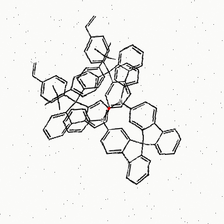 C=Cc1ccc(C2(c3ccc(C(C)(C)C)cc3)c3ccccc3-c3ccc(N(c4ccccc4)c4ccc5c(c4)C4(c6ccccc6-5)c5ccccc5-c5ccc(N(c6ccccc6)c6ccc7c(c6)C(c6ccc(C=C)cc6)(c6ccc(C(C)(C)C)cc6)c6ccccc6-7)cc54)cc32)cc1